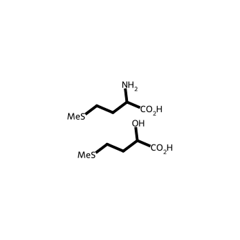 CSCCC(N)C(=O)O.CSCCC(O)C(=O)O